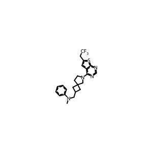 CN(CC1CC2(CCN(c3ncnc4sc(CC(F)(F)F)cc34)C2)C1)c1ccccc1